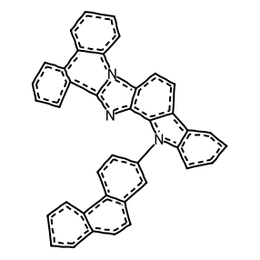 c1ccc2c(c1)ccc1cc(-n3c4ccccc4c4ccc5c(nc6c7ccccc7c7ccccc7n56)c43)ccc12